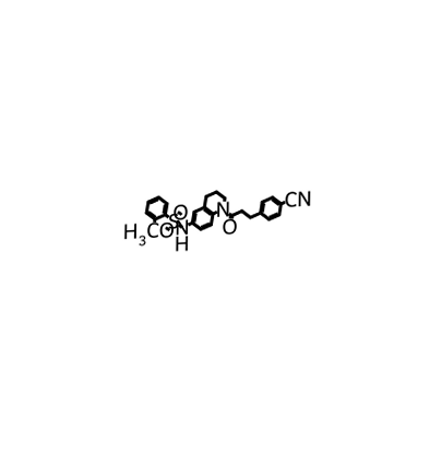 Cc1ccccc1S(=O)(=O)Nc1ccc2c(c1)CCCN2C(=O)CCc1ccc(C#N)cc1